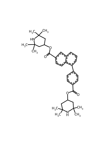 CC1(C)CC(OC(=O)c2ccc(-c3cccc4cc(C(=O)OC5CC(C)(C)NC(C)(C)C5)ccc34)cc2)CC(C)(C)N1